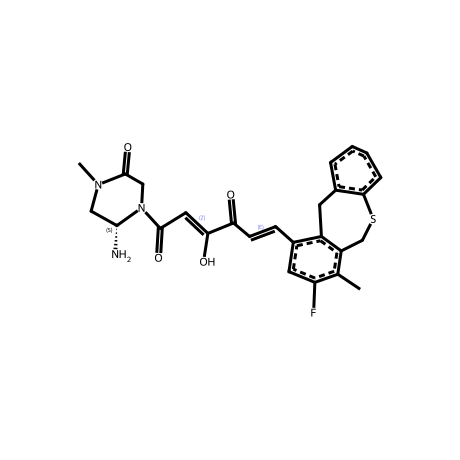 Cc1c(F)cc(/C=C/C(=O)/C(O)=C/C(=O)N2CC(=O)N(C)C[C@H]2N)c2c1CSc1ccccc1C2